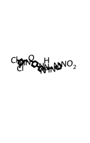 O=C(NCc1cc(Cl)cc(Cl)c1)c1ccc(-c2ccnc(NCCNc3ccc([N+](=O)[O-])cn3)n2)cc1